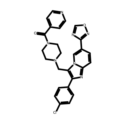 O=C(c1ccncc1)N1CCN(Cc2c(-c3ccc(Cl)cc3)nc3ccc(-c4ncon4)cn23)CC1